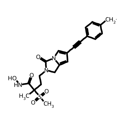 [CH2]c1ccc(C#Cc2cc3n(c2)C(=O)N(CCC(C)(C(=O)NO)S(C)(=O)=O)C3)cc1